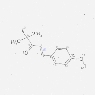 CC(C)(I)C(=O)/C=C/c1ccc(OI)cc1